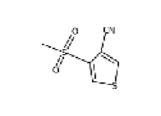 CS(=O)(=O)c1cscc1C#N